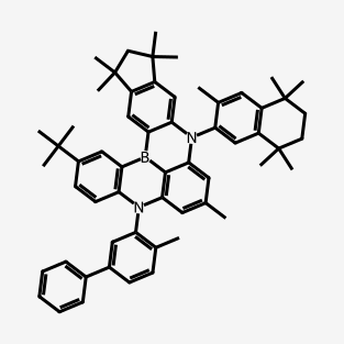 Cc1cc2c3c(c1)N(c1cc4c(cc1C)C(C)(C)CCC4(C)C)c1cc4c(cc1B3c1cc(C(C)(C)C)ccc1N2c1cc(-c2ccccc2)ccc1C)C(C)(C)CC4(C)C